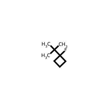 CC(C)(C)C1(F)CCC1